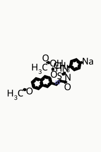 CC(=O)O.CCOc1ccc2cc(OCC)c(/C=C3\SC(Nc4cc[c]([Na])cc4)=NC3=O)cc2c1